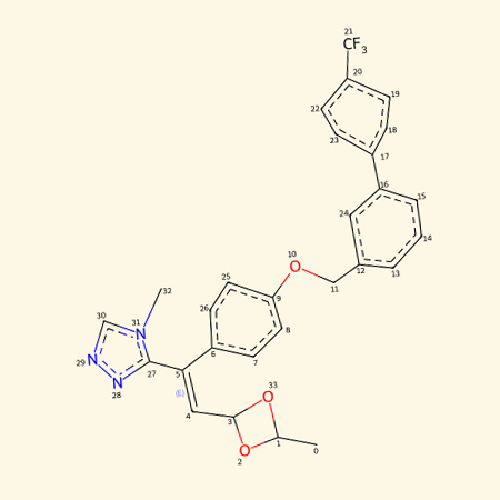 CC1OC(/C=C(\c2ccc(OCc3cccc(-c4ccc(C(F)(F)F)cc4)c3)cc2)c2nncn2C)O1